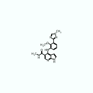 CNC(=O)c1cnc2[nH]ccc2c1Nc1cccc(-c2ncn(C)n2)c1OC